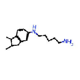 CC1Cc2cc(NCCCCCN)ccc2C1C